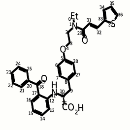 CCN(CCOc1ccc(C[C@H](Nc2ccccc2C(=O)c2ccccc2)C(=O)O)cc1)C(=O)C=Cc1cccs1